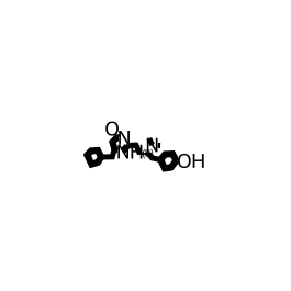 CN(C)[C@H](CCc1nc(=O)cc(Cc2ccccc2)[nH]1)Cc1ccc(O)cc1